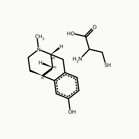 CN1CC[C@]23CCCC[C@H]2[C@H]1Cc1ccc(O)cc13.NC(CS)C(=O)O